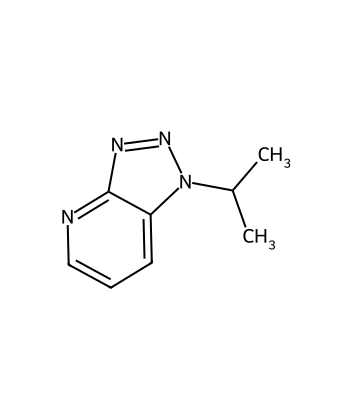 CC(C)n1nnc2ncccc21